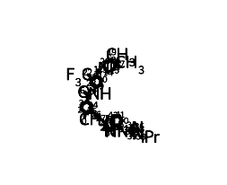 Cc1ccc(C(=O)Nc2ccc(CN3CCN(C)[C@@H](C)C3)c(C(F)(F)F)c2)cc1C#Cc1cnc2c(Nc3cnn(C(C)C)c3)cccn12